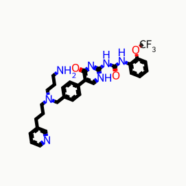 NCCCN(CCCc1cccnc1)Cc1ccc(-c2c[nH]c(NC(=O)Nc3ccccc3OC(F)(F)F)nc2=O)cc1